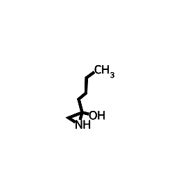 CCCCC1(O)CN1